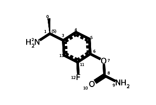 C[C@H](N)c1ccc(OC(N)=O)c(F)c1